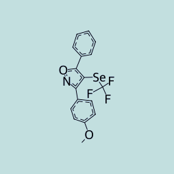 COc1ccc(-c2noc(-c3ccccc3)c2[Se]C(F)(F)F)cc1